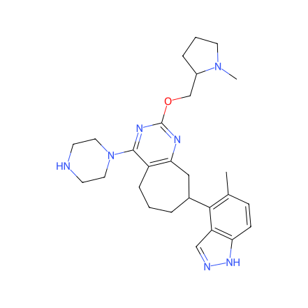 Cc1ccc2[nH]ncc2c1C1CCCc2c(nc(OCC3CCCN3C)nc2N2CCNCC2)C1